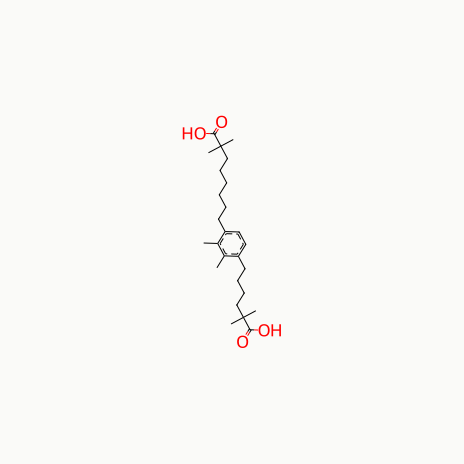 Cc1c(CCCCCCC(C)(C)C(=O)O)ccc(CCCCC(C)(C)C(=O)O)c1C